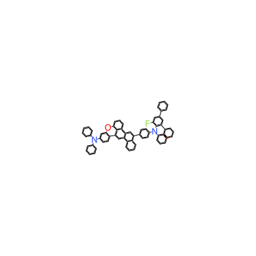 Fc1cc(-c2ccccc2)cc(-c2ccccc2)c1N(c1ccccc1)c1ccc(-c2cc3c4cccc5c4c(cc3c3ccccc23)-c2ccc(N(c3ccccc3)c3ccccc3)cc2O5)cc1